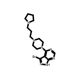 Brc1n[nH]c2ncnc(N3CCN(CCCN4CCCC4)CC3)c12